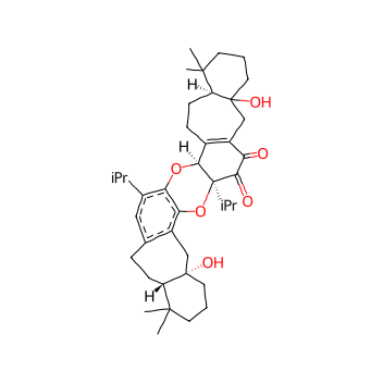 CC(C)c1cc2c(c3c1O[C@H]1C4=C(CC5(O)CCCC(C)(C)[C@@H]5CC4)C(=O)C(=O)[C@@]1(C(C)C)O3)C[C@@]1(O)CCCC(C)(C)[C@@H]1CC2